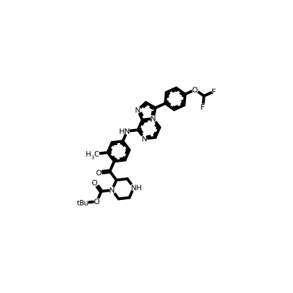 Cc1cc(Nc2nccn3c(-c4ccc(OC(F)F)cc4)cnc23)ccc1C(=O)C1CNCCN1C(=O)OC(C)(C)C